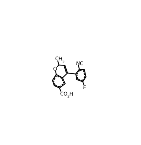 [C-]#[N+]c1ccc(F)cc1C1=CC(C)Oc2ccc(C(=O)O)cc21